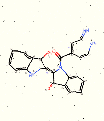 N=C/C=C(\C=C/N)C(=O)N1/C(=C2/Nc3ccccc3C2O)C(=O)c2ccccc21